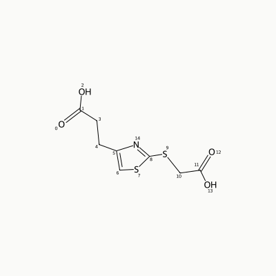 O=C(O)CCc1csc(SCC(=O)O)n1